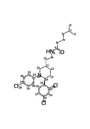 CC(C)CCCC(=O)NCC[C@@H]1CC[C@@H](c2ccc(Cl)cc2Cl)N(c2ccc(Cl)cc2)C1